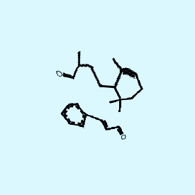 CC1=CCCC(C)(C)C1CCC(C)C=O.O=CC=Cc1ccccc1